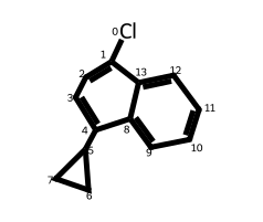 Clc1ccc(C2CC2)c2ccccc12